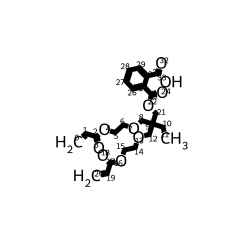 C=CC(=O)OCCOCC(CC)(COCCOC(=O)C=C)COC(=O)c1ccccc1C(=O)O